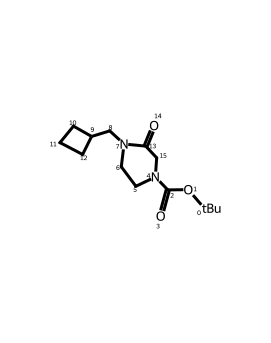 CC(C)(C)OC(=O)N1CCN(CC2CCC2)C(=O)C1